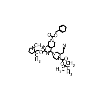 CN1CCCC1(C)COc1nc2c(c(N3CCN(C(=O)OC(C)(C)C)C(CC#N)C3)n1)CCN(C(=O)OCc1ccccc1)C2